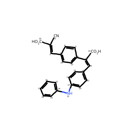 N#C/C(=C\c1ccc(/C(=C\c2ccc(Nc3ccccc3)cc2)C(=O)O)cc1)C(=O)O